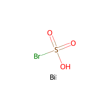 O=S(=O)(O)Br.[Bi]